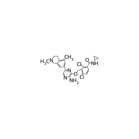 Cc1cc(-c2cnc(N)c(OCc3c(Cl)ccc(C(=O)NC4CC4)c3Cl)n2)cc2c1CCN(C)C2